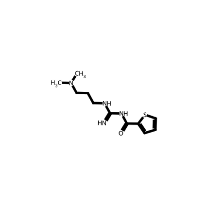 CN(C)CCCNC(=N)NC(=O)c1cccs1